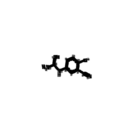 N#Cc1cc(NC(=N)N)ccc1Cl